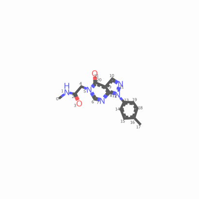 CNC(=O)Cn1cnc2c(cnn2-c2ccc(C)cc2)c1=O